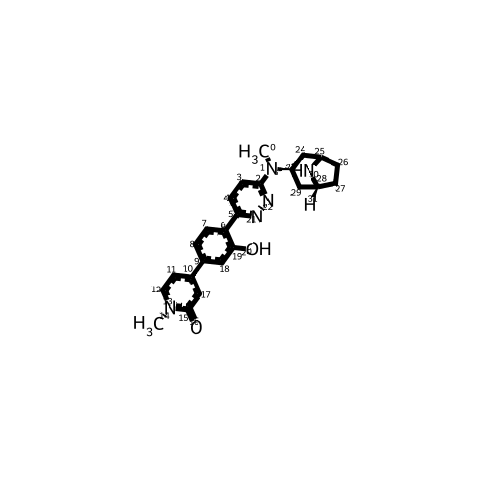 CN(c1ccc(-c2ccc(-c3ccn(C)c(=O)c3)cc2O)nn1)[C@H]1CC2CC[C@H](C1)N2